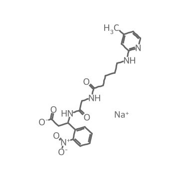 Cc1ccnc(NCCCCC(=O)NCC(=O)NC(CC(=O)[O-])c2ccccc2[N+](=O)[O-])c1.[Na+]